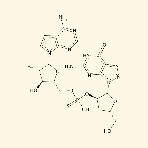 Nc1nc2c(nnn2[C@@H]2O[C@H](CO)C[C@H]2OP(O)(=S)OC[C@H]2O[C@@H](n3ccc4c(N)ncnc43)[C@@H](F)[C@@H]2O)c(=O)[nH]1